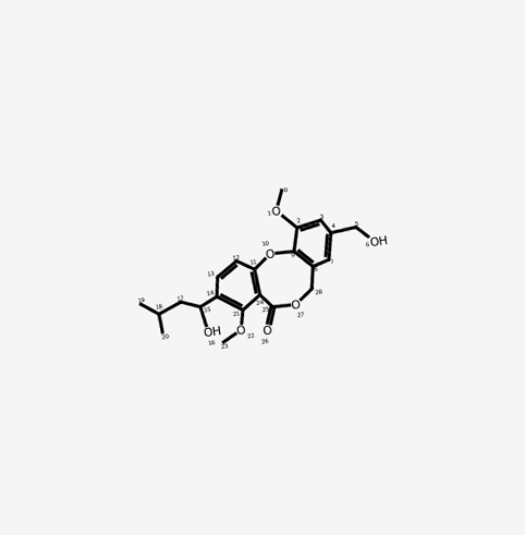 COc1cc(CO)cc2c1Oc1ccc(C(O)CC(C)C)c(OC)c1C(=O)OC2